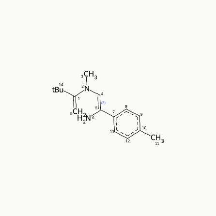 C=C(N(C)/C=C(\N)c1ccc(C)cc1)C(C)(C)C